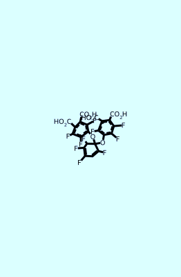 O=C(O)c1c(F)c(F)c(OC2(Oc3c(F)c(F)c(C(=O)O)c(C(=O)O)c3F)C(F)=CC(F)=C(F)C2F)c(F)c1C(=O)O